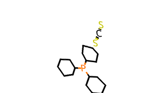 C1CCC(P(C2CCCCC2)C2CCCCC2)CC1.S=C=S